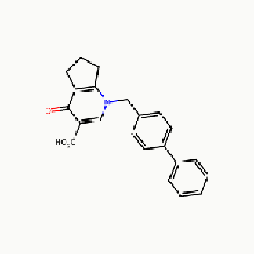 O=C(O)c1cn(Cc2ccc(-c3ccccc3)cc2)c2c(c1=O)CCC2